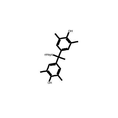 CCCCCCCC(C)(c1cc(C)c(O)c(C)c1)c1cc(C)c(O)c(C)c1